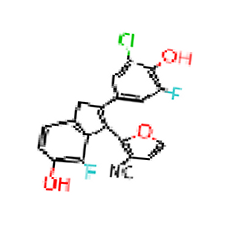 N#Cc1ccoc1C1=C(c2cc(F)c(O)c(Cl)c2)Cc2ccc(O)c(F)c21